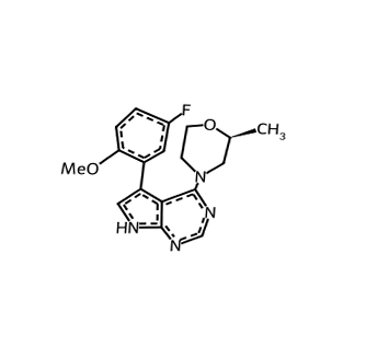 COc1ccc(F)cc1-c1c[nH]c2ncnc(N3CCO[C@@H](C)C3)c12